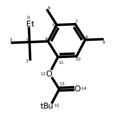 CCC(C)(C)c1c(C)cc(C)cc1OC(=O)C(C)(C)C